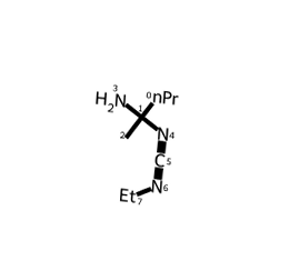 CCCC(C)(N)N=C=NCC